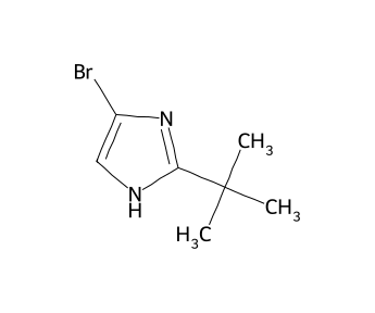 CC(C)(C)c1nc(Br)c[nH]1